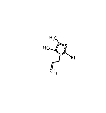 C=CC[n+]1c(CC)sc(C)c1O